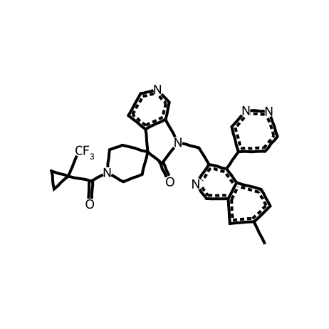 Cc1ccc2c(-c3ccnnc3)c(CN3C(=O)C4(CCN(C(=O)C5(C(F)(F)F)CC5)CC4)c4ccncc43)ncc2c1